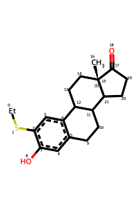 CCSc1cc2c(cc1O)CCC1C2CC[C@]2(C)C(=O)CCC12